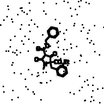 CCOC(=O)C1(Cc2ccccc2)C(=O)C(C(=O)OCc2ccccc2)C(=O)N1C